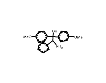 COc1ccc(C(O)(c2ccc(OC)cc2)C(N)c2ccccc2)cc1